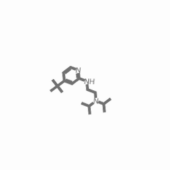 CC(C)N(CCNc1cc(C(C)(C)C)ccn1)C(C)C